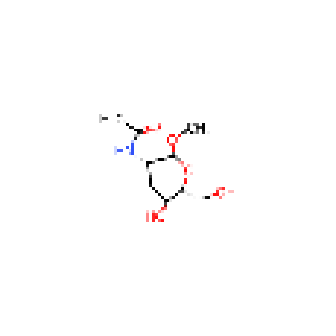 CO[C@H]1O[C@H](CO)[C@@H](O)C[C@@H]1NC(C)=O